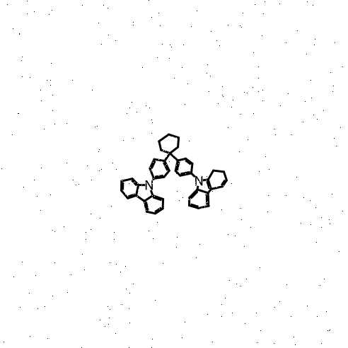 C1=Cc2c(n(-c3ccc(C4(c5ccc(-n6c7ccccc7c7ccccc76)cc5)CCCCC4)cc3)c3ccccc23)CC1